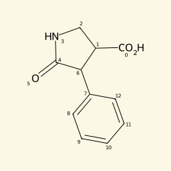 O=C(O)C1CNC(=O)C1c1ccccc1